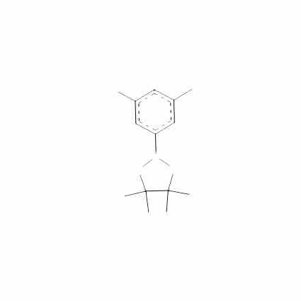 C[CH]c1cc(C)cc(B2OC(C)(C)C(C)(C)O2)c1